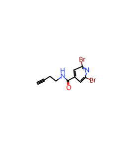 C#CCCNC(=O)c1cc(Br)nc(Br)c1